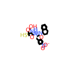 CC(C)(S)[C@H](NC(=O)O)C(=O)N[C@@H](Cc1ccc([N+](=O)[O-])cc1)C(=O)N[C@@H]1CCCc2ccccc21